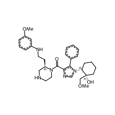 COC[C@]1(O)CCCC[C@H]1n1cnc(C(=O)N2CCNC[C@H]2CCNc2cccc(OC)c2)c1-c1ccccc1